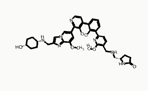 COc1nc(-c2cccc(-c3ccnc(-c4cc(OC)c5nc(CN[C@H]6CC[C@@H](O)CC6)cn5c4)c3Cl)c2Cl)ccc1CNC[C@@H]1CCC(=O)N1